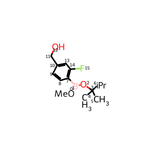 COB(OC(C)(C)C(C)C)c1ccc(CO)cc1F